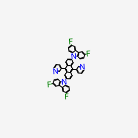 Fc1ccc2c(c1)c1cc(F)ccc1n2-c1ccc2c(-c3cccnc3)c3cc(-n4c5ccc(F)cc5c5cc(F)ccc54)ccc3c(-c3cccnc3)c2c1